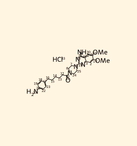 COc1cc2nc(N3CCN(C(=O)CCCCCc4ccc(N)cc4)CC3)nc(N)c2cc1OC.Cl